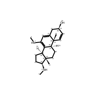 CNC1=C2[C@@H]3CC[C@H](NC)[C@@]3(C)CC[C@@H]2[C@@]2(C)C=C[C@H](O)CC2=C1